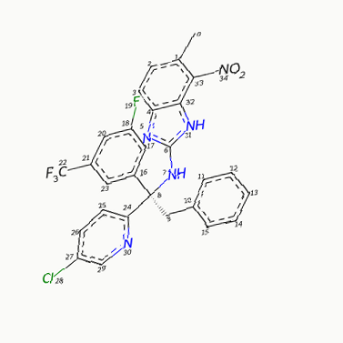 Cc1ccc2nc(N[C@](Cc3ccccc3)(c3cc(F)cc(C(F)(F)F)c3)c3ccc(Cl)cn3)[nH]c2c1[N+](=O)[O-]